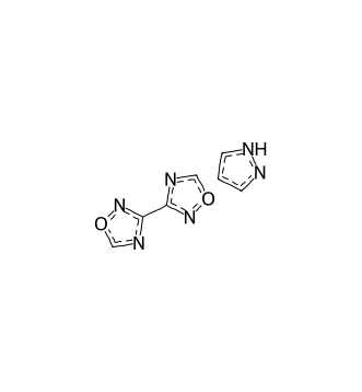 c1cn[nH]c1.c1nc(-c2ncon2)no1